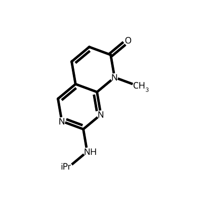 CC(C)Nc1ncc2ccc(=O)n(C)c2n1